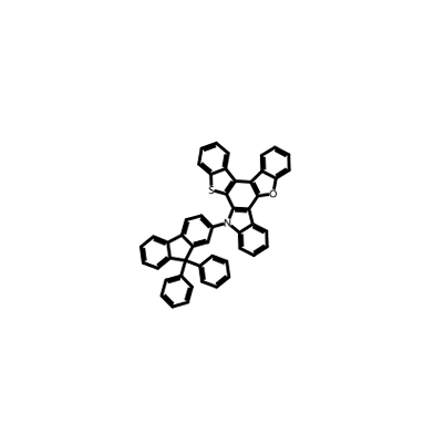 c1ccc(C2(c3ccccc3)c3ccccc3-c3ccc(-n4c5ccccc5c5c6oc7ccccc7c6c6c7ccccc7sc6c54)cc32)cc1